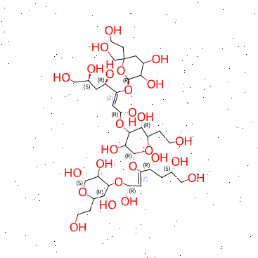 OCCC1O[C@H](O/C(=C\[C@H](O)OC2C(O)[C@@H](O)OC(CCO)[C@H]2O)[C@H](O)C[C@H](O)CO)C(O)C(O[C@@H](O)/C=C(\O[C@H]2OC(CO)(CCO)CC(O)C2O)[C@H](O)C[C@H](O)CO)[C@@H]1O